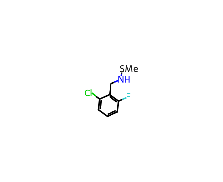 CSNCc1c(F)cccc1Cl